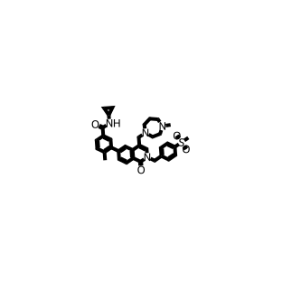 Cc1ccc(C(=O)NC2CC2)cc1-c1ccc2c(=O)n(Cc3ccc(S(C)(=O)=O)cc3)cc(CN3CCCN(C)CC3)c2c1